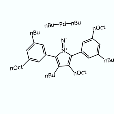 CCCCCCCCC1=C(c2cc(CCCC)cc(CCCCCCCC)c2)[N+](=[N-])C(c2cc(CCCC)cc(CCCCCCCC)c2)=C1CCCC.CCC[CH2][Pd][CH2]CCC